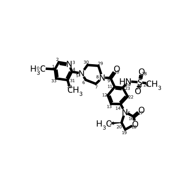 Cc1cnc(N2CCN(C(=O)c3ccc(N4C(=O)OC[C@H]4C)cc3NS(C)(=O)=O)CC2)c(C)c1